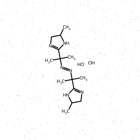 CC1CN=C(C(C)(C)N=NC(C)(C)C2=NCC(C)N2)N1.Cl.Cl